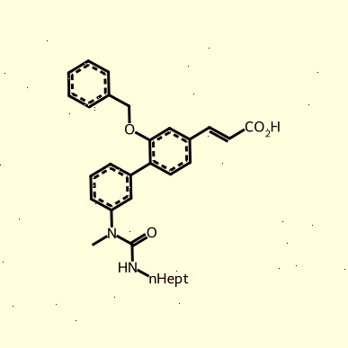 CCCCCCCNC(=O)N(C)c1cccc(-c2ccc(C=CC(=O)O)cc2OCc2ccccc2)c1